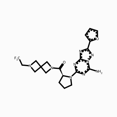 Nc1nc(N2CCC[C@H]2C(=O)N2CC3(CN(CC(F)(F)F)C3)C2)nc2nc(-c3ccco3)nn12